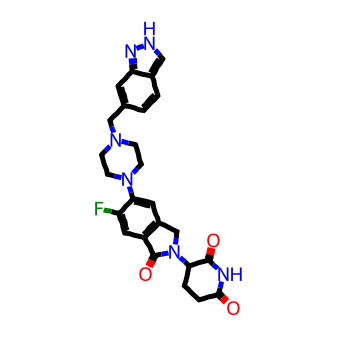 O=C1CCC(N2Cc3cc(N4CCN(Cc5ccc6c[nH]nc6c5)CC4)c(F)cc3C2=O)C(=O)N1